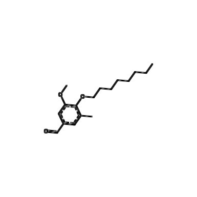 CCCCCCCCOc1c(C)cc(C=O)cc1OC